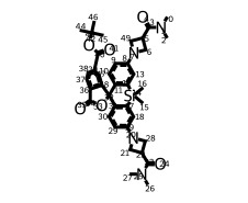 CN(C)C(=O)C1CN(c2ccc3c(c2)[Si](C)(C)c2cc(N4CC(C(=O)N(C)C)C4)ccc2C32OC(=O)c3ccc(C(=O)OC(C)(C)C)cc32)C1